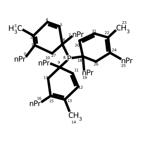 CCCC1=C(C)C=CC(CCC)(P(C2(CCC)C=CC(C)=C(CCC)C2)C2(CCC)C=CC(C)=C(CCC)C2)C1